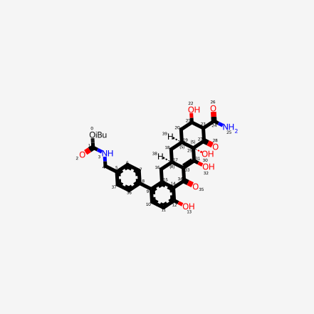 CC(C)COC(=O)NCc1ccc(-c2ccc(O)c3c2C[C@H]2C[C@H]4CC(O)C(C(N)=O)C(=O)[C@@]4(O)C(O)=C2C3=O)cc1